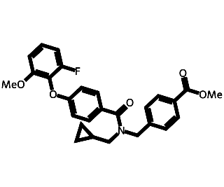 COC(=O)c1ccc(CN(CC2CC2)C(=O)c2ccc(Oc3c(F)cccc3OC)cc2)cc1